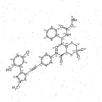 Cn1cc(C#Cc2ccc(NC(=O)[C@@H]3CS(=O)(=O)CCN3C(=O)C(NC(=O)OC(C)(C)C)c3ccccc3)cc2)c(-c2cc(Cl)ccc2O)n1